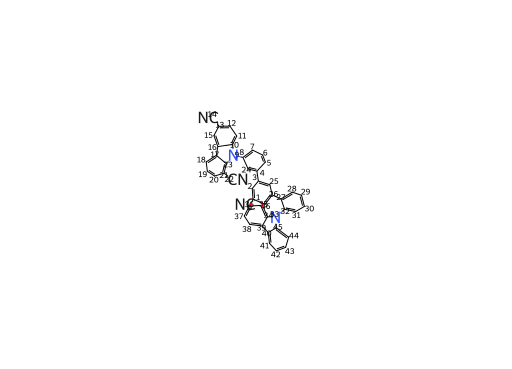 N#Cc1cc(-c2cccc(-n3c4ccc(C#N)cc4c4cccc(C#N)c43)c2)cc(-c2ccccc2-n2c3ccccc3c3ccccc32)c1